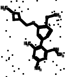 CNc1nc(N)nc(C)c1-c1ccc(OC)c(OCC2CN(C)C2)c1